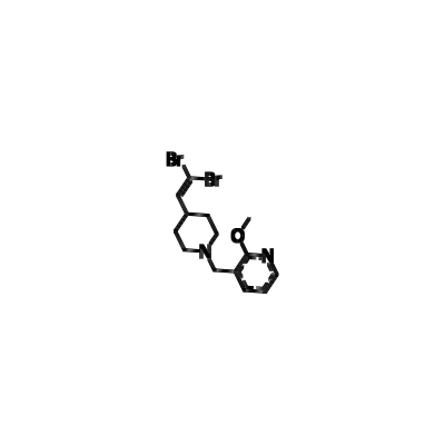 COc1ncccc1CN1CCC(C=C(Br)Br)CC1